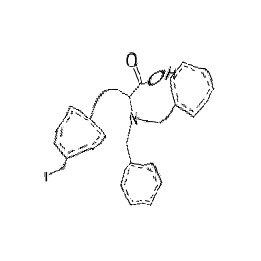 O=C(O)C(Cc1ccc(I)cc1)N(Cc1ccccc1)Cc1ccccc1